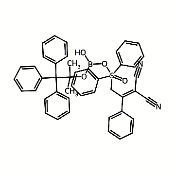 CC(C)(OB(O)OS(=O)(CC(=C(C#N)C#N)c1ccccc1)(c1ccccc1)c1ccccc1)C(c1ccccc1)(c1ccccc1)c1ccccc1